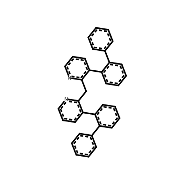 c1ccc(-c2ccccc2-c2cccnc2Cc2ncccc2-c2ccccc2-c2ccccc2)cc1